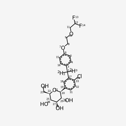 [2H]C([2H])(c1ccc(OCCOCC(F)F)cc1)c1cc([C@@H]2O[C@H](CO)[C@@H](O)[C@H](O)[C@H]2O)ccc1Cl